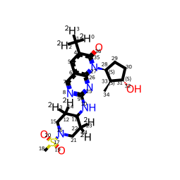 [2H]C([2H])([2H])c1cc2cnc(NC3C([2H])([2H])CN(S(C)(=O)=O)CC3([2H])[2H])nc2n([C@H]2CC[C@H](O)[C@H]2C)c1=O